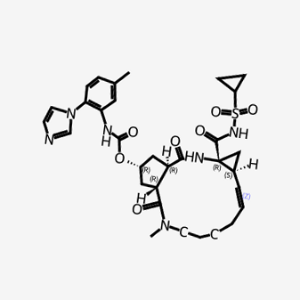 Cc1ccc(-n2ccnc2)c(NC(=O)O[C@@H]2C[C@H]3C(=O)N[C@]4(C(=O)NS(=O)(=O)C5CC5)C[C@H]4/C=C\CCCCN(C)C(=O)[C@@H]3C2)c1